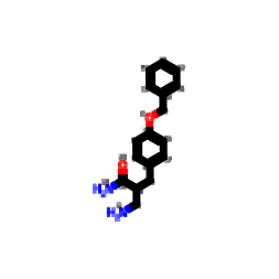 NCC(Cc1ccc(OCc2ccccc2)cc1)C(N)=O